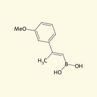 COc1cccc(C(C)=CB(O)O)c1